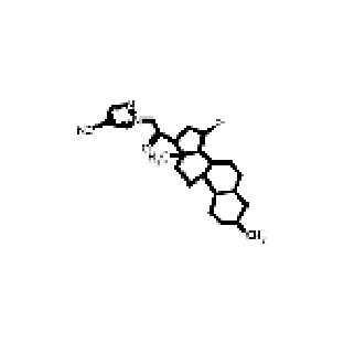 CCC1CC(C(=O)Cn2cc(C#N)cn2)C2(C)CCC3C4CCC(C)CC4CCC3C12